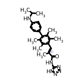 C/C(=C\c1c(C)c(C)c(-c2ccc(NC(C)C)cc2)c(C)c1C)C(=O)Nc1nnn[nH]1